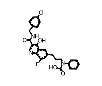 O=C(NCc1ccc(Cl)cc1)c1cnc2c(F)cc(CCCN(C(=O)O)c3ccccc3)cc2c1O